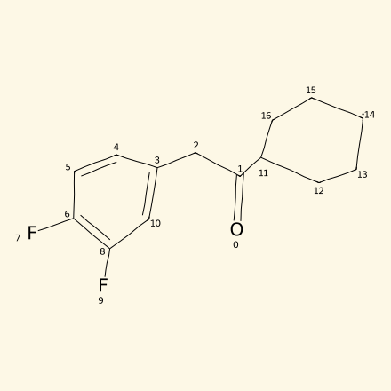 O=C(Cc1ccc(F)c(F)c1)C1CC[CH]CC1